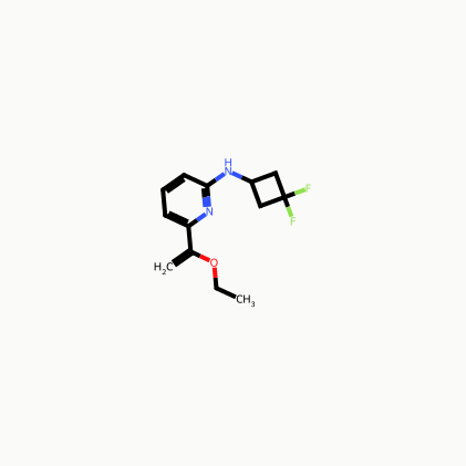 C=C(OCC)c1cccc(NC2CC(F)(F)C2)n1